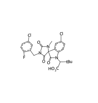 CN1C(=O)N(Cc2cc(Cl)ccc2F)C(=O)C12C(=O)N(C(C(=O)O)C(C)(C)C)c1ccc(Cl)cc12